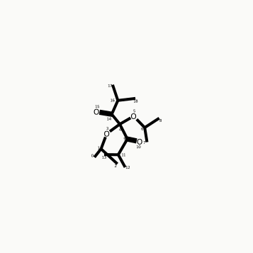 CC(C)OC(OC(C)C)(C(=O)C(C)C)C(=O)C(C)C